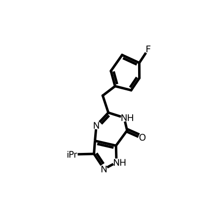 CC(C)c1n[nH]c2c(=O)[nH]c(Cc3ccc(F)cc3)nc12